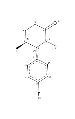 C[C@H]1CCC(=O)N(C)[C@@H]1c1ccc(F)cc1